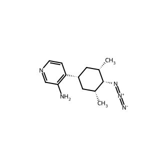 C[C@@H]1C[C@H](c2ccncc2N)C[C@H](C)[C@@H]1N=[N+]=[N-]